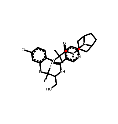 CC(C)(Oc1ccc(Cl)cc1Cl)C(=O)NC1CC2CCC(C1)N2c1ccc(C(=O)NC(CO)C(F)(F)F)cn1